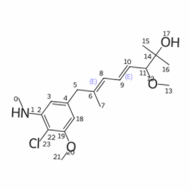 CNc1cc(C/C(C)=C/C=C/C(OC)C(C)(C)O)cc(OC)c1Cl